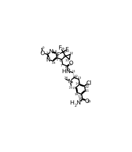 COc1ncc(C(CC(=O)NC[C@H](Cc2ccc(C(N)=O)cc2Cl)N(C)C)C2(C(F)(F)F)CC2)cn1